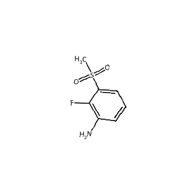 CS(=O)(=O)c1cccc(N)c1F